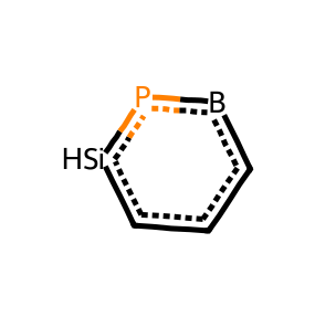 b1ccc[siH]p1